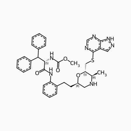 COC(=O)N[C@H](C(=O)Nc1ccccc1CC[C@@H]1CN[C@H](C)[C@@H](CSc2ncnc3[nH]ncc23)O1)C(c1ccccc1)c1ccccc1